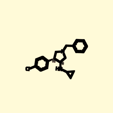 Clc1ccc([C@@H]2CN(Cc3ccccc3)C[C@H]2NC2CC2)cc1